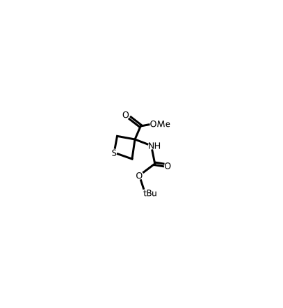 COC(=O)C1(NC(=O)OC(C)(C)C)CSC1